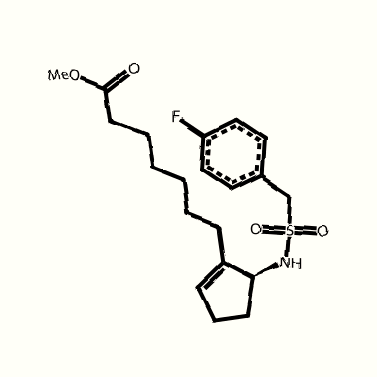 COC(=O)CCCCCCC1=CCC[C@@H]1NS(=O)(=O)Cc1ccc(F)cc1